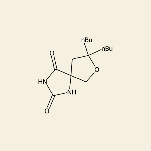 CCCCC1(CCCC)CC2(CO1)NC(=O)NC2=O